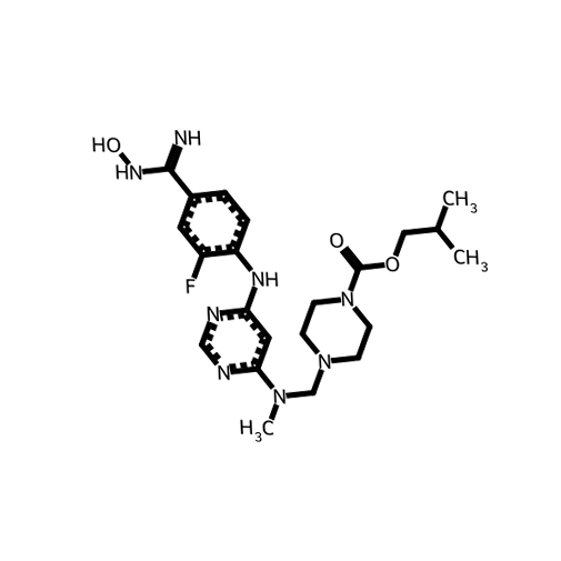 CC(C)COC(=O)N1CCN(CN(C)c2cc(Nc3ccc(C(=N)NO)cc3F)ncn2)CC1